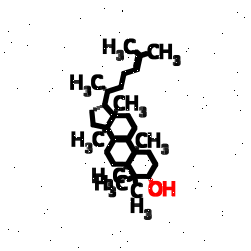 CC(C)=CCC[C@@H](C)[C@H]1CC[C@@]2(C)C3=C(CC[C@]12C)[C@@]1(C)CC[C@H](O)C(C)(C)[C@]1(C)CC3